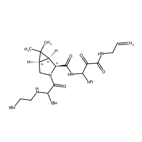 C=CCNC(=O)C(=O)C(CCC)NC(=O)[C@@H]1[C@H]2[C@@H](CN1C(=O)C(NCCC(C)(C)C)C(C)(C)C)C2(C)C